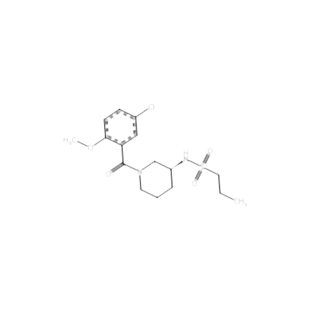 CCCS(=O)(=O)N[C@H]1CCCN(C(=O)c2cc(Cl)ccc2OC)C1